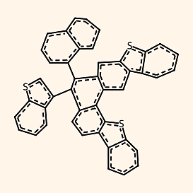 c1ccc2c(-c3c(-c4csc5ccccc45)c4ccc5c6ccccc6sc5c4c4cc5c(cc34)sc3ccccc35)cccc2c1